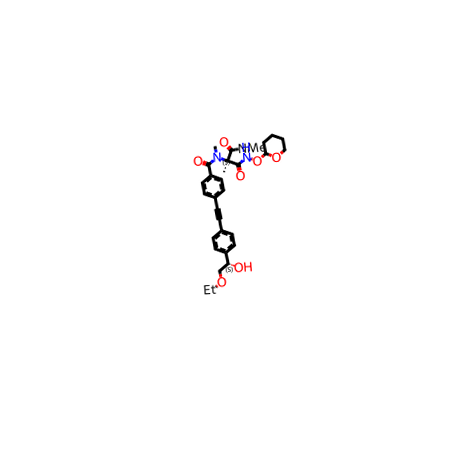 CCOC[C@@H](O)c1ccc(C#Cc2ccc(C(=O)N(C)[C@@](C)(C(=O)NC)C(=O)NOC3CCCCO3)cc2)cc1